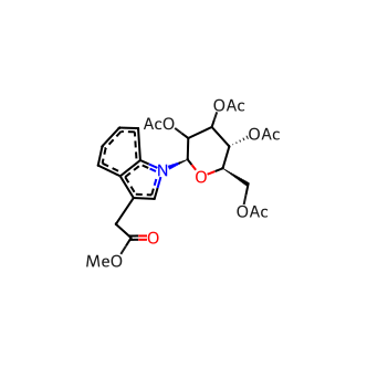 COC(=O)Cc1cn([C@@H]2O[C@H](COC(C)=O)[C@@H](OC(C)=O)C(OC(C)=O)C2OC(C)=O)c2ccccc12